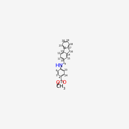 COC(=O)c1ccc(NCc2ccc3c(c2)Cc2ccccc2-3)cc1